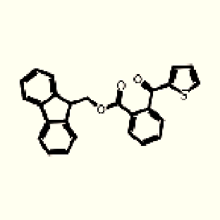 O=C(OCC1c2ccccc2-c2ccccc21)c1ccccc1C(=O)c1cccs1